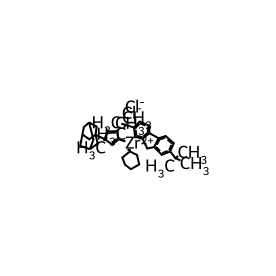 CC1=CC(C)(C23CC4CC(CC(C4)C2)C3)C=[C]1[Zr+2](=[C]1CCCCC1)[c]1c(C(C)(C)C)ccc2c1Cc1cc(C(C)(C)C)ccc1-2.[Cl-].[Cl-]